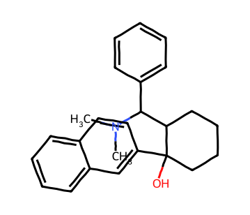 CN(C)C(c1ccccc1)C1CCCCC1(O)c1ccc2ccccc2c1